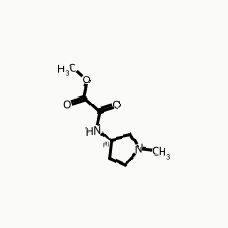 COC(=O)C(=O)N[C@@H]1CCN(C)C1